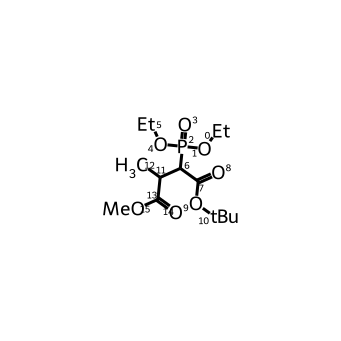 CCOP(=O)(OCC)C(C(=O)OC(C)(C)C)C(C)C(=O)OC